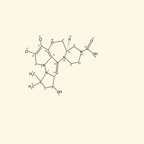 CC1(C)CC(O)CN1N1CC(Cl)=C(Cl)C2=C1C(=O)N1CCN(C(=O)O)C[C@@H]1CO2